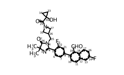 CC1(C)N=C(c2ccc(-c3ccc4cc(F)ccc4c3C=O)cc2F)N(CC2CN(C(=O)C3(O)CC3)C2)C1=O